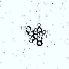 CC1(C)CC(=O)CN1c1nc(-c2ccccc2F)c(Cl)c2c1C(=O)N1CCNC[C@@H]1CO2